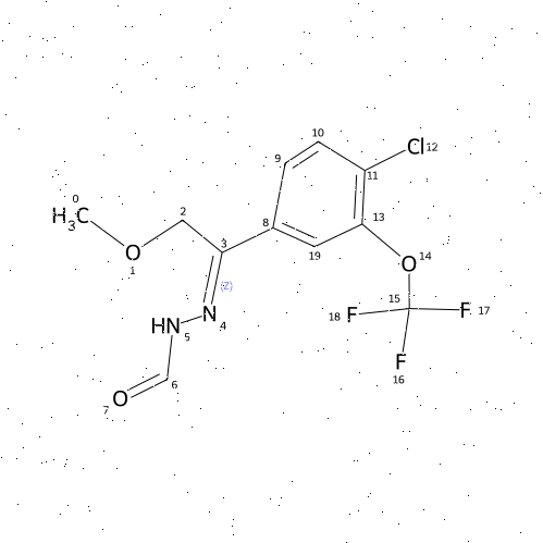 COC/C(=N\NC=O)c1ccc(Cl)c(OC(F)(F)F)c1